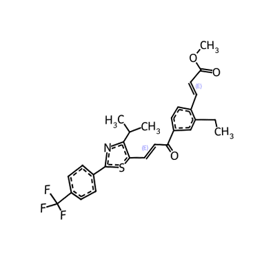 CCc1cc(C(=O)/C=C/c2sc(-c3ccc(C(F)(F)F)cc3)nc2C(C)C)ccc1/C=C/C(=O)OC